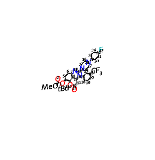 COC(=O)Oc1ccc2c(c1)C(CC(=O)OC(C)(C)C)N(c1cccc(C(F)(F)F)c1)C(N1CCN(c3ccc(F)cc3)CC1)=N2